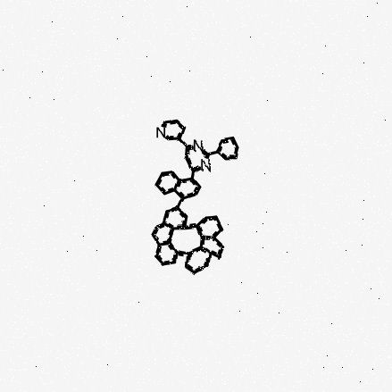 c1ccc(-c2nc(-c3cccnc3)cc(-c3ccc(-c4cc5ccc6cccc7c8cccc9ccc%10cccc(c(c4)c5c67)c%10c98)c4ccccc34)n2)cc1